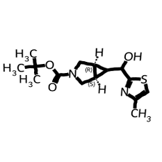 Cc1csc(C(O)C2[C@H]3CN(C(=O)OC(C)(C)C)C[C@@H]23)n1